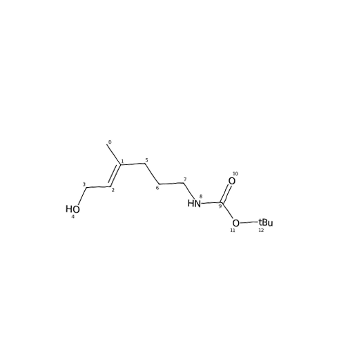 CC(=CCO)CCCNC(=O)OC(C)(C)C